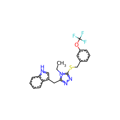 CCn1c(Cc2c[nH]c3ccccc23)nnc1SCc1cccc(OC(F)(F)F)c1